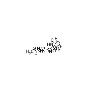 CC(=O)Nc1cn2nc(-c3cnc(Cl)c(C(=O)NC(C)c4cc(C(F)(F)F)ccc4F)c3)ccc2n1